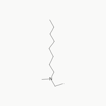 [CH2]CN(C)CCCCCCCC